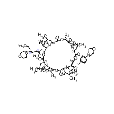 C=C/C(=C\C=C(/C)C[C@H]1OC(=O)[C@H](CC(C)C)N(C)C(=O)[C@@H](C)OC(O)[C@H](CC(C)C)N(C)C(=O)[C@@H](Cc2ccc(N3CCOCC3)cc2)OC(=O)[C@H](CC(C)C)N(C)C(=O)[C@@H](C)OC(=O)[C@H](CC(C)C)N(C)C1=O)N1CCOCC1